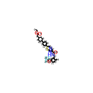 CCOC(=O)CC1CCC(c2ccc(-c3cn4cc(C(=O)NCc5cc(OC(F)(F)F)ccc5C)nc4s3)cc2)CC1